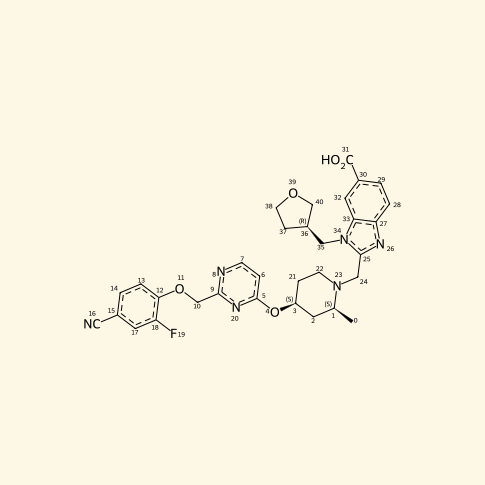 C[C@H]1C[C@@H](Oc2ccnc(COc3ccc(C#N)cc3F)n2)CCN1Cc1nc2ccc(C(=O)O)cc2n1C[C@H]1CCOC1